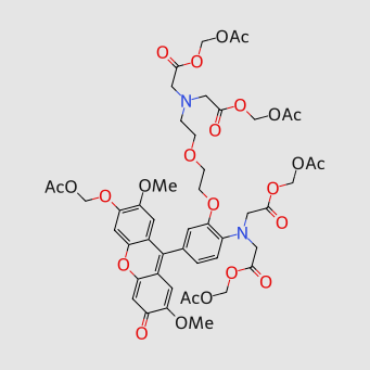 COc1cc2c(-c3ccc(N(CC(=O)OCOC(C)=O)CC(=O)OCOC(C)=O)c(OCCOCCN(CC(=O)OCOC(C)=O)CC(=O)OCOC(C)=O)c3)c3cc(OC)c(=O)cc-3oc2cc1OCOC(C)=O